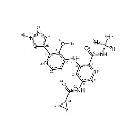 [2H]C([2H])([2H])NC(=O)c1nnc(NC(=O)C2CC2)cc1Nc1ccnc(-c2cnn(C)n2)c1OC